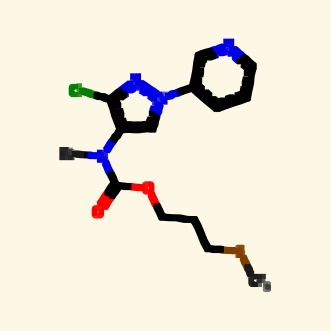 CCN(C(=O)OCCCSC(F)(F)F)c1cn(-c2cccnc2)nc1Cl